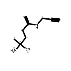 C#CCNC(=C)CCC(C)(N)C#N